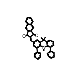 CN1c2c(-c3ccccc3)cccc2C(C)(C)c2cc(C=C3C(=O)c4cc5ccccc5cc4C3=O)cc(-c3ccccc3)c21